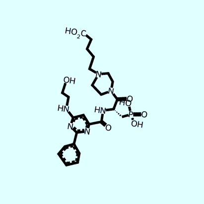 O=C(O)CCCCN1CCN(C(=O)[C@H](CP(=O)(O)O)NC(=O)c2cc(NCCO)nc(-c3ccccc3)n2)CC1